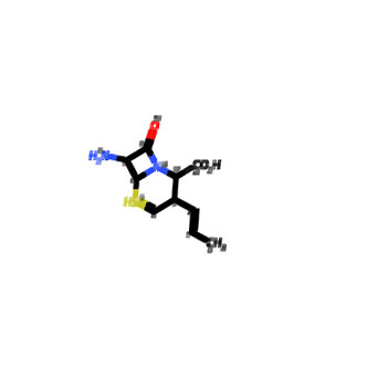 CC=CC1C=[SH]C2C(N)C(=O)N2C1C(=O)O